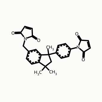 CC1(C)CC(C)(c2ccc(N3C(=O)C=CC3=O)cc2)c2cc(CN3C(=O)C=CC3=O)ccc21